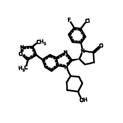 Cc1noc(C)c1-c1ccc2c(c1)nc([C@@H]1CCC(=O)N1c1ccc(F)c(Cl)c1)n2C1CCC(O)CC1